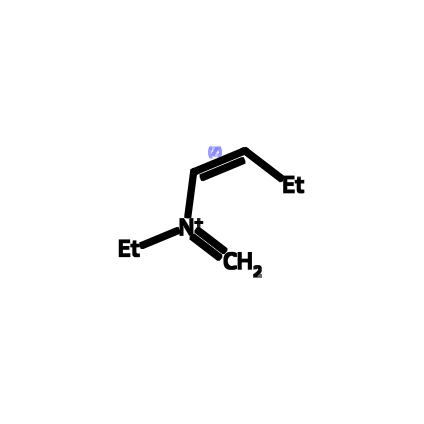 C=[N+](/C=C\CC)CC